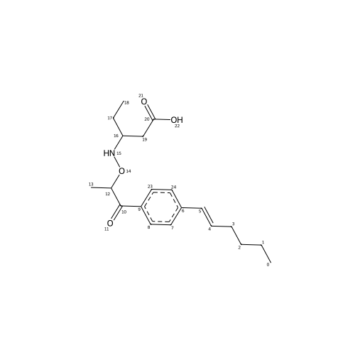 CCCCC=Cc1ccc(C(=O)C(C)ONC(CC)CC(=O)O)cc1